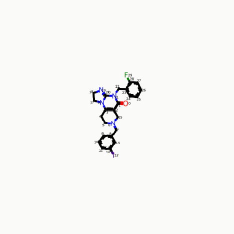 O=C1C2=C(CCN(Cc3cccc(I)c3)C2)N2CCN=C2N1Cc1ccccc1F